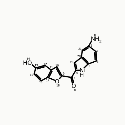 Nc1ccc2[nH]c(C(=O)c3cc4cc(O)ccc4o3)cc2c1